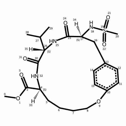 COC(=O)[C@@H]1CCCCOc2ccc(cc2)C[C@H](NS(C)(=O)=O)C(=O)N[C@@H](C(C)C)C(=O)N1